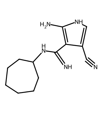 N#Cc1c[nH]c(N)c1C(=N)NC1CCCCCC1